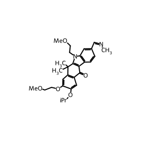 C/N=C\c1ccc2c3c(n(CCOC)c2c1)C(C)(C)c1cc(OCCOC)c(OC(C)C)cc1C3=O